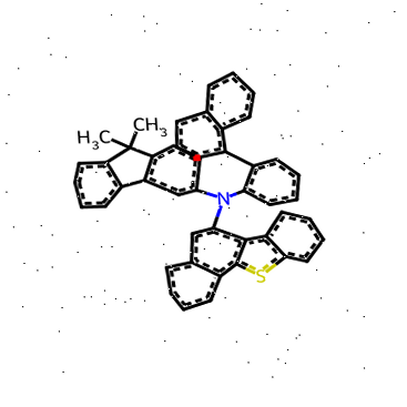 CC1(C)c2ccccc2-c2cc(N(c3ccccc3-c3cccc4ccccc34)c3cc4ccccc4c4sc5ccccc5c34)ccc21